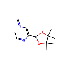 C=N/C=C(\N=C/C)B1OC(C)(C)C(C)(C)O1